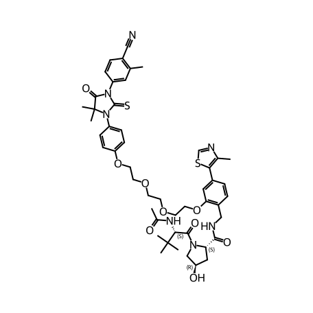 CC(=O)N[C@H](C(=O)N1C[C@H](O)C[C@H]1C(=O)NCc1ccc(-c2scnc2C)cc1OCCOCCOCCOc1ccc(N2C(=S)N(c3ccc(C#N)c(C)c3)C(=O)C2(C)C)cc1)C(C)(C)C